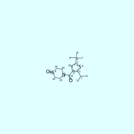 CC(C)c1sc(C(C)(C)C)cc1C(=O)N1CC[S+]([O-])CC1